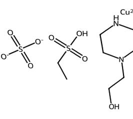 CCS(=O)(=O)O.O=S(=O)([O-])[O-].OCCN1CCNCC1.[Cu+2]